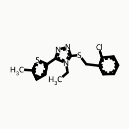 CCn1c(SCc2ccccc2Cl)nnc1-c1ccc(C)s1